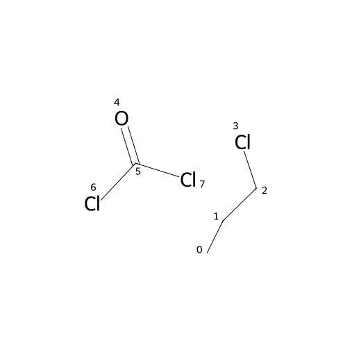 CCCCl.O=C(Cl)Cl